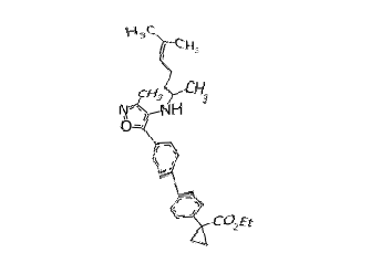 CCOC(=O)C1(c2ccc(-c3ccc(-c4onc(C)c4NC(C)CCC=C(C)C)cc3)cc2)CC1